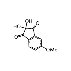 COc1ccc2c(c1)C(=O)C(O)(O)C2=O